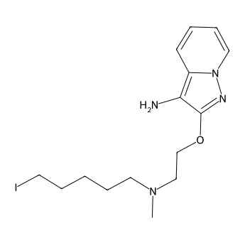 CN(CCCCCI)CCOc1nn2ccccc2c1N